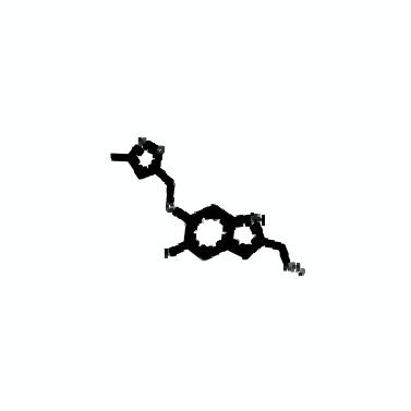 Cc1cc(COc2cc3[nH]c(CN)cc3cc2F)on1